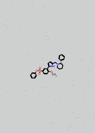 COc1ccc(S(=O)(=O)Oc2ccccc2)cc1-c1ccc(CN2CCCC[C@H]2c2ccccc2)[nH]1